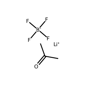 CC(C)=O.F[B-](F)(F)F.[Li+]